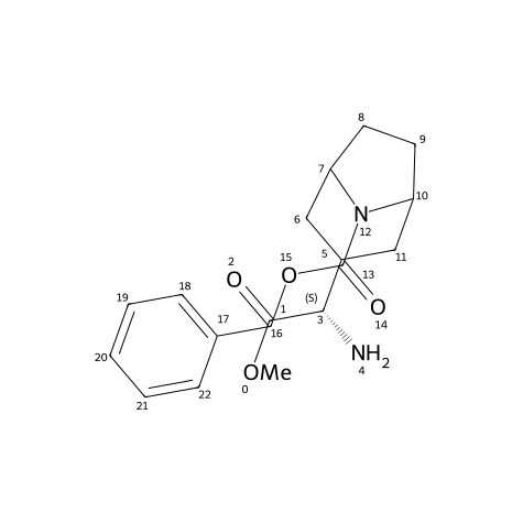 COC(=O)[C@@H](N)C1CC2CCC(C1)N2C(=O)OCc1ccccc1